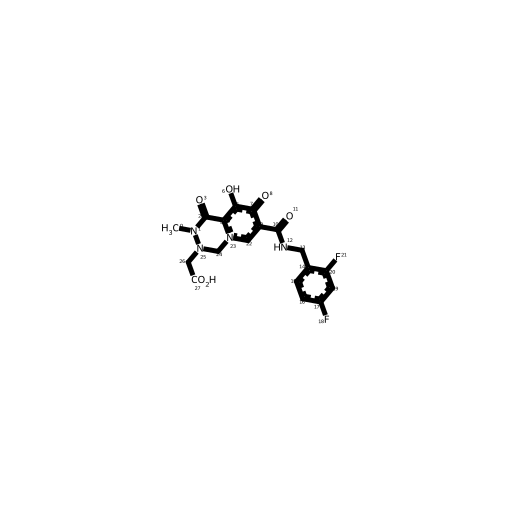 CN1C(=O)c2c(O)c(=O)c(C(=O)NCc3ccc(F)cc3F)cn2CN1CC(=O)O